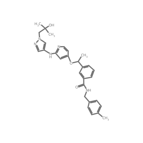 Cc1ccc(CNC(=O)c2cccc(C(C)Oc3ccnc(Nc4cnn(CC(C)(C)O)c4)c3)c2)cc1